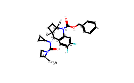 O=C(O)[C@H]1CCN1C(=O)N(C1CC1)[C@H]1c2cc(F)c(F)cc2N(C(=O)OCc2ccccc2)[C@H]2CC[C@H]21